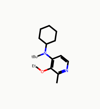 CCOc1c(N(C2CCCCC2)C(C)(C)C)ccnc1C